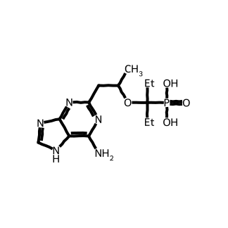 CCC(CC)(OC(C)Cc1nc(N)c2[nH]cnc2n1)P(=O)(O)O